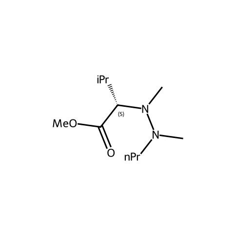 CCCN(C)N(C)[C@H](C(=O)OC)C(C)C